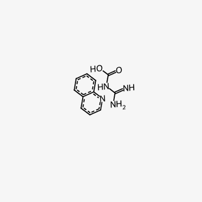 N=C(N)NC(=O)O.c1ccc2ncccc2c1